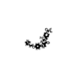 CN(C)C(=O)N1CCC(O)(Cn2cnc3c(cnn3-c3ccc(OCCn4ccnc4)cc3)c2=O)CC1